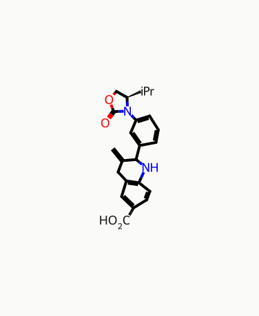 C=C1Cc2cc(C(=O)O)ccc2NC1c1cccc(N2C(=O)OC[C@H]2C(C)C)c1